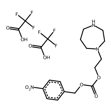 O=C(O)C(F)(F)F.O=C(O)C(F)(F)F.O=C(OCCN1CCCNCC1)OCc1ccc([N+](=O)[O-])cc1